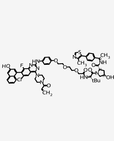 C=CC(=O)N1CCN(c2nc(Nc3ccc(OCCOCCOCC(=O)N[C@H](C(=O)N4C[C@H](O)C[C@H]4C(=O)N[C@@H](C)c4ccc(-c5scnc5C)cc4)C(C)(C)C)cc3)nc3c(F)c(-c4cc(O)cc5ccccc45)c(Cl)cc23)CC1